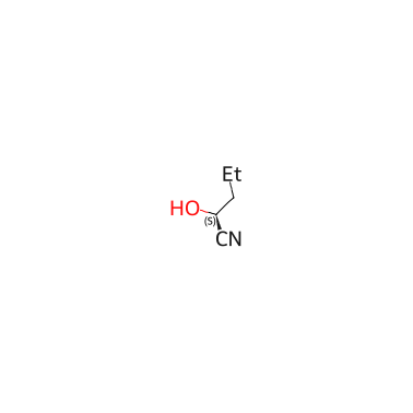 CCC[C@H](O)C#N